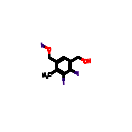 Cc1c(COI)cc(CO)c(I)c1I